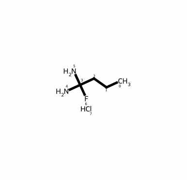 CCCC(N)(N)F.Cl